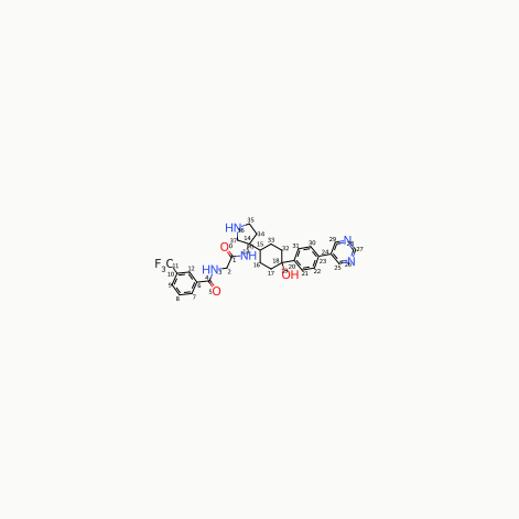 O=C(CNC(=O)c1cccc(C(F)(F)F)c1)N[C@@]1(C2CCC(O)(c3ccc(-c4cncnc4)cc3)CC2)CCNC1